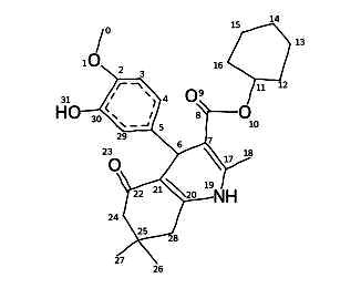 COc1ccc(C2C(C(=O)OC3CCCCC3)=C(C)NC3=C2C(=O)CC(C)(C)C3)cc1O